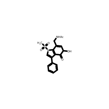 CC(=O)NCC1=CC(O)C(=O)c2c(-c3ccccc3)cn(S(C)(=O)=O)c21